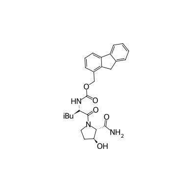 CC[C@H](C)[C@H](NC(=O)OCc1cccc2c1Cc1ccccc1-2)C(=O)N1CC[C@H](O)[C@H]1C(N)=O